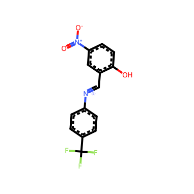 O=[N+]([O-])c1ccc(O)c(/C=N/c2ccc(C(F)(F)F)cc2)c1